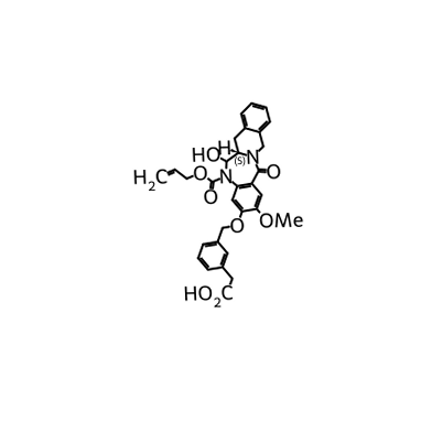 C=CCOC(=O)N1c2cc(OCc3cccc(CC(=O)O)c3)c(OC)cc2C(=O)N2Cc3ccccc3C[C@H]2C1O